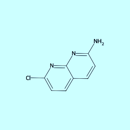 Nc1ccc2ccc(Cl)nc2n1